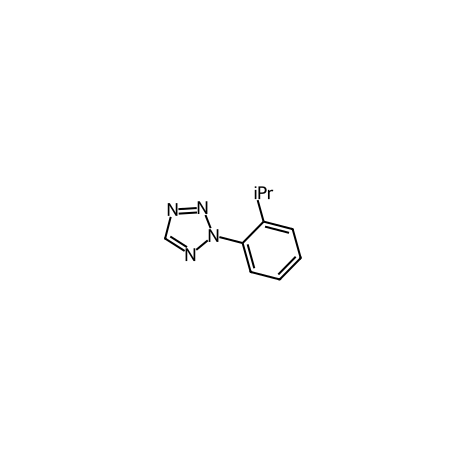 CC(C)c1ccccc1-n1ncnn1